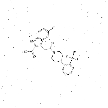 O=C(O)c1[nH]c2ccc(Cl)cc2c1CC(=O)N1CCN(c2ccccc2C(F)(F)F)CC1